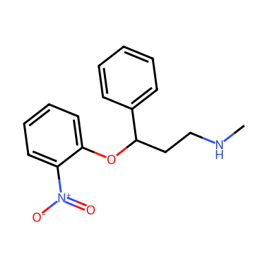 CNCCC(Oc1ccccc1[N+](=O)[O-])c1ccccc1